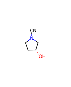 N#CN1CC[C@@H](O)C1